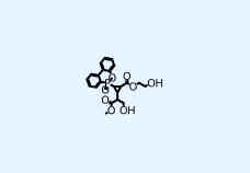 COC(=O)C(CO)C1C(C(=O)OCCO)C1P1(=O)Oc2ccccc2-c2ccccc21